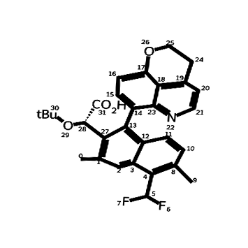 Cc1cc2c(C(F)F)c(C)ccc2c(-c2ccc3c4c(ccnc24)CCO3)c1[C@H](OC(C)(C)C)C(=O)O